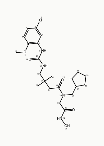 COc1ccc(Cl)cc1NC(=O)NCC(C)(C)CC(=O)N(CC(=O)NO)CC1CCCC1